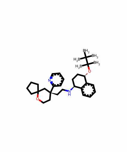 BC(B)(B)C(B)(B)O[C@H]1CC[C@H](NCC[C@@]2(c3ccccn3)CCOC3(CCCC3)C2)c2ccccc21